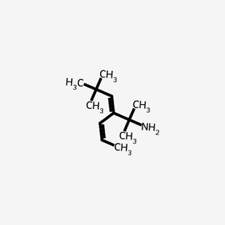 C/C=C\C(=C/C(C)(C)C)C(C)(C)N